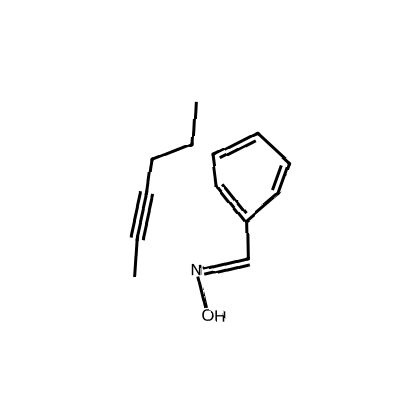 CC#CCCC.ON=Cc1ccccc1